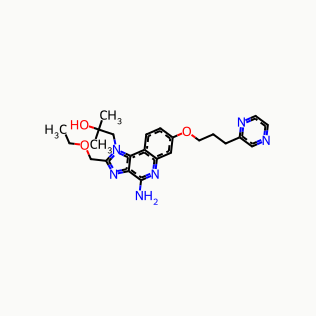 CCOCc1nc2c(N)nc3cc(OCCCc4cnccn4)ccc3c2n1CC(C)(C)O